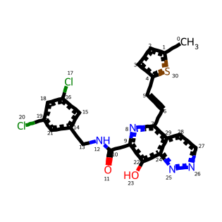 Cc1ccc(C=Cc2nc(C(=O)NCc3cc(Cl)cc(Cl)c3)c(O)c3nnccc23)s1